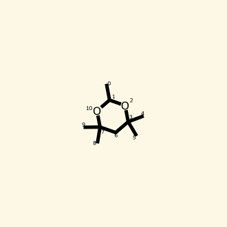 CC1OC(C)(C)CC(C)(C)O1